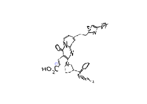 CC(C)c1csc(CCc2ccn3c(=O)c(/C=C/C(=O)O)c(N4CCCC(C(N)=O)C4)nc3c2)n1